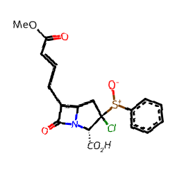 COC(=O)/C=C/CC1C(=O)N2C1CC(Cl)([S+]([O-])c1ccccc1)[C@@H]2C(=O)O